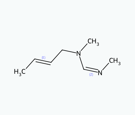 C/C=C/CN(C)/C=N\C